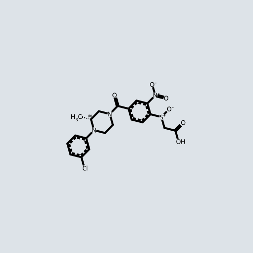 C[C@@H]1CN(C(=O)c2ccc([S+]([O-])CC(=O)O)c([N+](=O)[O-])c2)CCN1c1cccc(Cl)c1